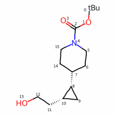 CC(C)(C)OC(=O)N1CCC([C@@H]2C[C@@H]2CCO)CC1